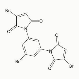 O=C1C=C(Br)C(=O)N1c1cc(Br)cc(N2C(=O)C=C(Br)C2=O)c1